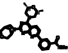 CNC(=O)c1cccc(-c2ccc3c(N4C[C@@H](C)O[C@@H](C)C4)nc(N4CC5COCC4C5)nc3n2)c1